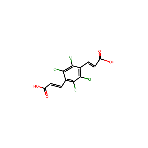 O=C(O)/C=C/c1c(Cl)c(Cl)c(/C=C/C(=O)O)c(Cl)c1Cl